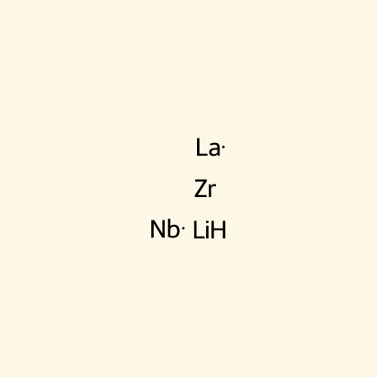 [La].[LiH].[Nb].[Zr]